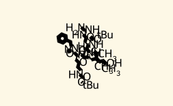 C=C(C)/C(C[C@H](NC(=O)[C@@H](CCNC(=N)N)NC(=O)OC(C)(C)C)C(=O)N[C@@H](CCCCNC(=O)OC(C)(C)C)c1nc(Cc2ccccc2)no1)=C(C)\C=C(/C)O